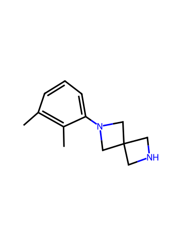 Cc1cccc(N2CC3(CNC3)C2)c1C